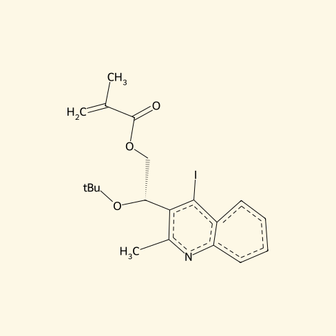 C=C(C)C(=O)OC[C@@H](OC(C)(C)C)c1c(C)nc2ccccc2c1I